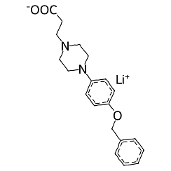 O=C([O-])CCN1CCN(c2ccc(OCc3ccccc3)cc2)CC1.[Li+]